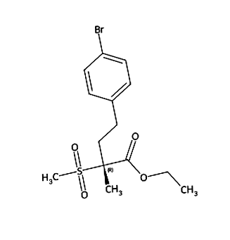 CCOC(=O)[C@@](C)(CCc1ccc(Br)cc1)S(C)(=O)=O